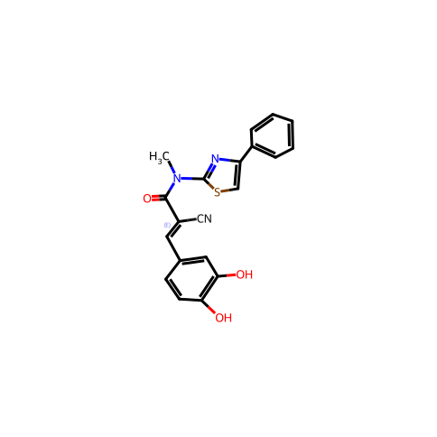 CN(C(=O)/C(C#N)=C/c1ccc(O)c(O)c1)c1nc(-c2ccccc2)cs1